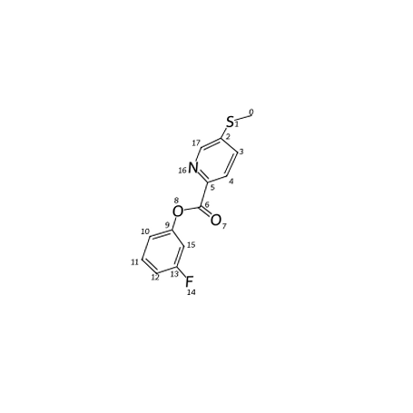 CSc1ccc(C(=O)Oc2cccc(F)c2)nc1